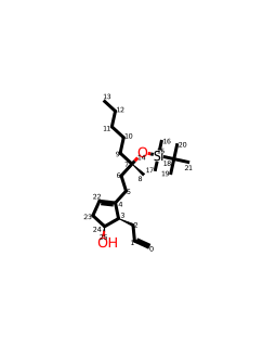 C=CC[C@@H]1C(CC[C@](C)(CCCCC)O[Si](C)(C)C(C)(C)C)=CC[C@@H]1O